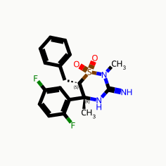 CN1C(=N)N[C@](C)(c2cc(F)ccc2F)[C@H](Cc2ccccc2)S1(=O)=O